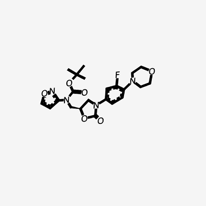 CC(C)(C)OC(=O)N(C[C@H]1CN(c2ccc(N3CCOCC3)c(F)c2)C(=O)O1)c1ccon1